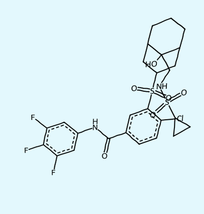 O=C(Nc1cc(F)c(F)c(F)c1)c1ccc(Cl)c(S(=O)(=O)C2CC3CCCC(C2)C3(O)CNS(=O)(=O)C2CC2)c1